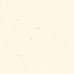 C=CNC(=C)CCC(C)NC